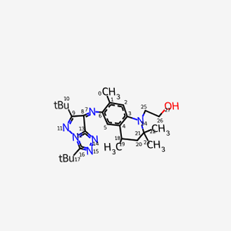 Cc1cc2c(cc1/N=C1/C(C(C)(C)C)=Nn3c1nnc3C(C)(C)C)C(C)CC(C)(C)N2CCO